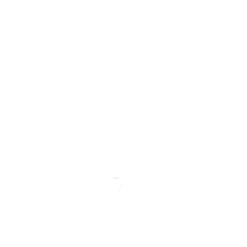 C=C(C)C(=O)OCCCC(CCCCCCCCCCCCCC)C(C)(C)C